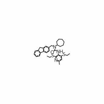 CCSc1cc(C)nc(SCC)c1NC(=O)N(Cc1ccc2c(c1)Cc1ccccc1-2)C1CCCCCC1